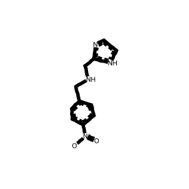 O=[N+]([O-])c1ccc(CNCc2ncc[nH]2)cc1